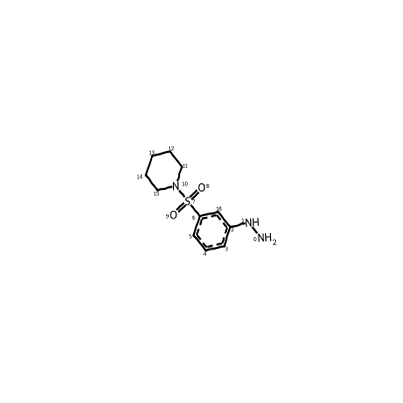 NNc1cccc(S(=O)(=O)N2CCCCC2)c1